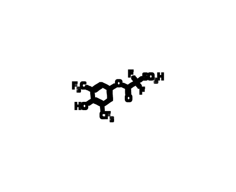 O=C(Oc1cc(C(F)(F)F)c(O)c(C(F)(F)F)c1)C(F)(F)S(=O)(=O)O